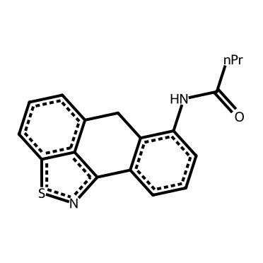 CCCC(=O)Nc1cccc2c1Cc1cccc3snc-2c13